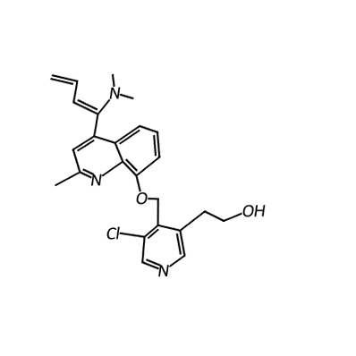 C=C/C=C(/c1cc(C)nc2c(OCc3c(Cl)cncc3CCO)cccc12)N(C)C